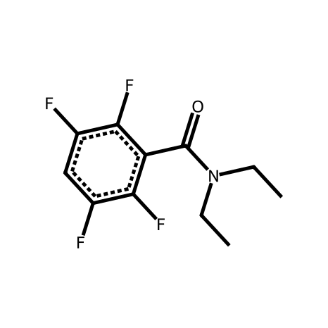 CCN(CC)C(=O)c1c(F)c(F)cc(F)c1F